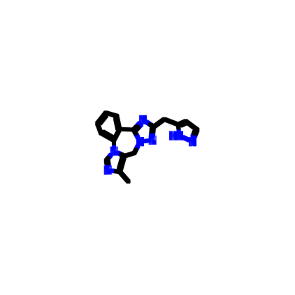 Cc1ncn2c1Cn1nc(Cc3ccn[nH]3)nc1-c1ccccc1-2